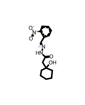 O=C(CC1(O)CCCCC1)N/N=C/c1ccccc1[N+](=O)[O-]